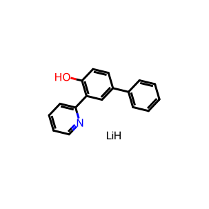 Oc1ccc(-c2ccccc2)cc1-c1ccccn1.[LiH]